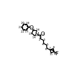 O=C(CCCCCC12CC(F)(C1)C2)N1CCC(Oc2ccccc2)C1